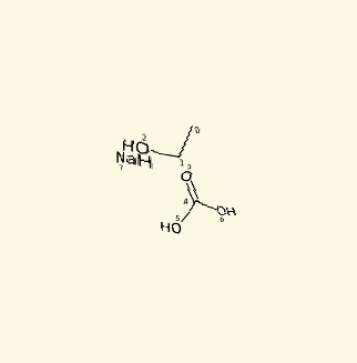 CCO.O=C(O)O.[NaH]